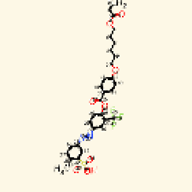 C=CC(=O)OCCCCCCOc1ccc(C(=O)Oc2ccc(N=Nc3ccc(C)c(S(=O)(=O)O)c3)cc2C(F)(F)F)cc1